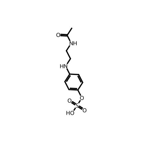 CC(=O)NCCNc1ccc(OS(=O)(=O)O)cc1